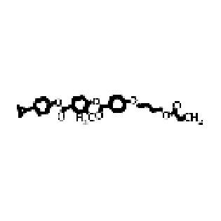 C=CC(=O)OCCCCOc1ccc(C(=O)Oc2ccc(C(=O)Oc3ccc(C4CC4)cc3)cc2C)cc1